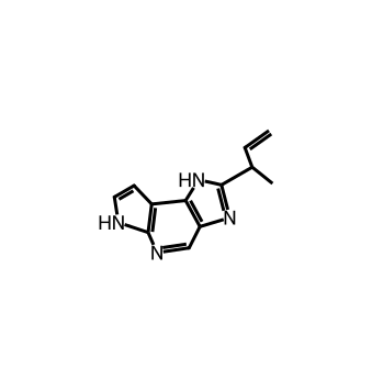 C=CC(C)c1nc2cnc3[nH]ccc3c2[nH]1